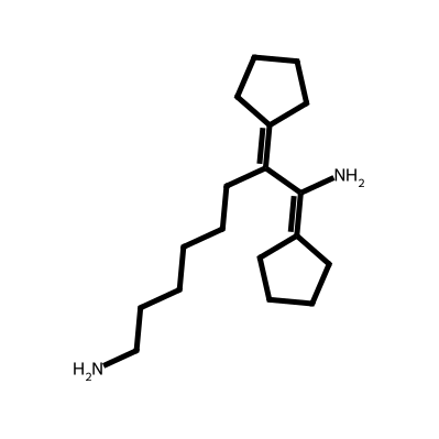 NCCCCCCC(=C1CCCC1)C(N)=C1CCCC1